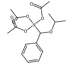 CC(=O)O[Si](OC(C)=O)(OC(C)=O)C(OC(C)C)c1ccccc1